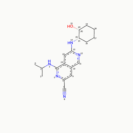 CC(C)Nc1nc(C#N)cc2cnc(N[C@H]3CCCC[C@H]3O)cc12